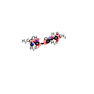 CCSC(SCC)[C@@H]1CCCN1C(=O)c1cc(OC)c(OCCCOc2ccc(C3=NOC(c4cc(OC)c(OC)c(OC)c4)C3)cc2OC)cc1[N+](=O)[O-]